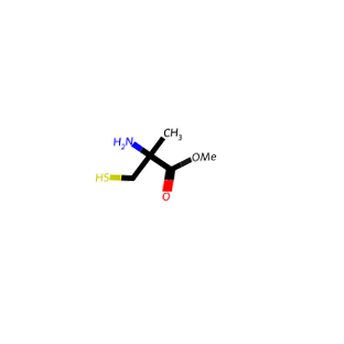 COC(=O)C(C)(N)CS